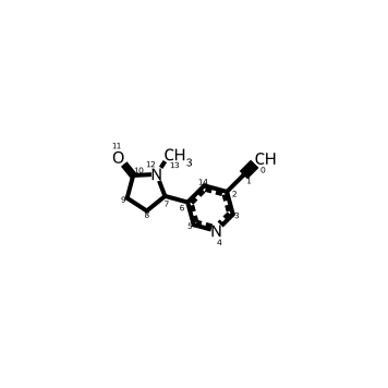 C#Cc1cncc(C2CCC(=O)N2C)c1